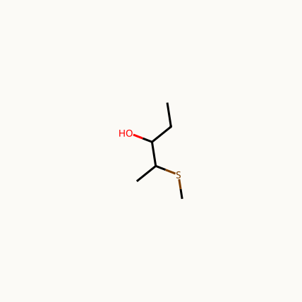 CCC(O)C(C)SC